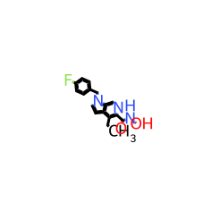 CCc1c(C(=O)NO)ncc2c1ccn2Cc1ccc(F)cc1